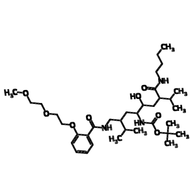 CCCCNC(=O)C(CC(O)C(CC(CNC(=O)c1ccccc1OCCOCCOC)C(C)C)NC(=O)OC(C)(C)C)C(C)C